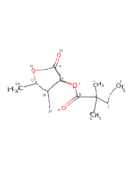 CCC(C)(C)C(=O)OC1C(=O)OC(C)C1I